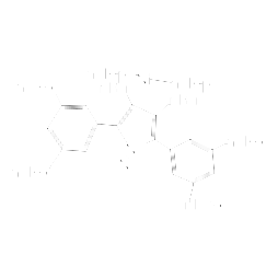 CCCCCC[CH2][Ni][CH2]CCCCCC.CCCCCCc1cc(CCCCCC)cc(C2=C(CCCC)C(CCCC)=C(c3cc(CCCCCC)cc(CCCCCC)c3)[N+]2=[N-])c1